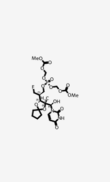 COC(=O)OCOP(=O)(OCOC(=O)OC)OC[C@H](CF)[C@H]1OC2(CCCC2)O[C@@]1(C)[C@@H](O)n1ccc(=O)[nH]c1=O